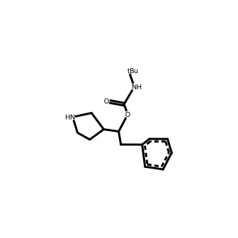 CC(C)(C)NC(=O)OC(Cc1ccccc1)C1CCNC1